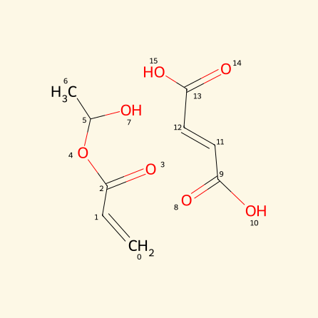 C=CC(=O)OC(C)O.O=C(O)C=CC(=O)O